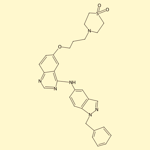 O=S1(=O)CCN(CCCOc2ccc3ncnc(Nc4ccc5c(cnn5Cc5ccccc5)c4)c3c2)CC1